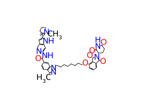 Cc1nn(CCCCCCCCOc2cccc3c2C(=O)N(C2CCC(=O)NC2=O)C3=O)c2cc(C(=O)Nc3cc4[nH]c([C@H]5CCCN5C)cc4cn3)ccc12